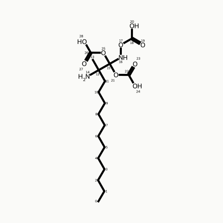 CCCCCCCCCCCCC(C)(N)C(NOC(=O)O)(OC(=O)O)OC(=O)O